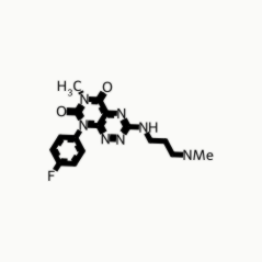 CNCCCNc1nnc2c(n1)c(=O)n(C)c(=O)n2-c1ccc(F)cc1